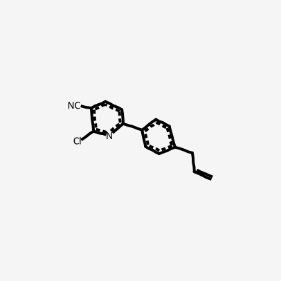 C=CCc1ccc(-c2ccc(C#N)c(Cl)n2)cc1